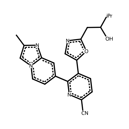 Cc1cn2ccc(-c3nc(C#N)ccc3-c3cnc(CC(O)C(C)C)o3)cc2n1